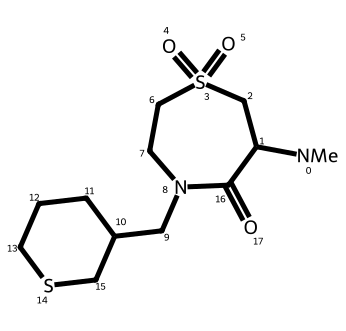 CNC1CS(=O)(=O)CCN(CC2CCCSC2)C1=O